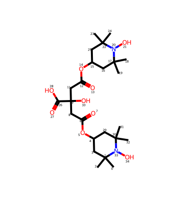 CC1(C)CC(OC(=O)CC(O)(CC(=O)OC2CC(C)(C)N(O)C(C)(C)C2)C(=O)O)CC(C)(C)N1O